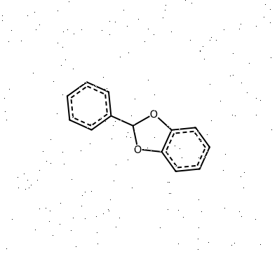 c1ccc(C2Oc3ccccc3O2)cc1